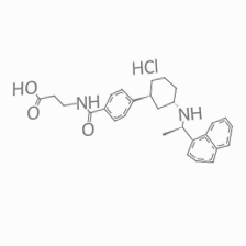 C[C@@H](N[C@H]1CCC[C@H](c2ccc(C(=O)NCCC(=O)O)cc2)C1)c1cccc2ccccc12.Cl